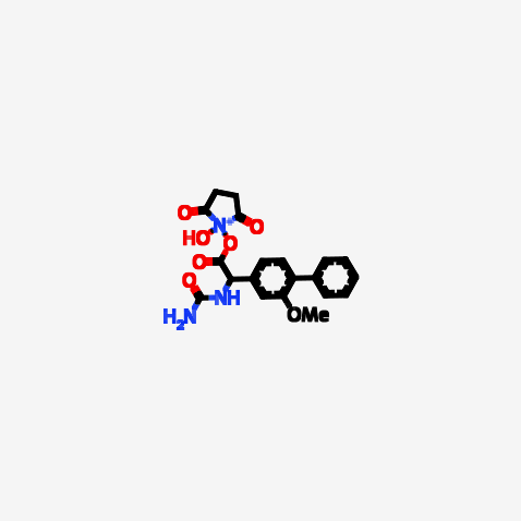 COc1cc(C(NC(N)=O)C(=O)O[N+]2(O)C(=O)CCC2=O)ccc1-c1ccccc1